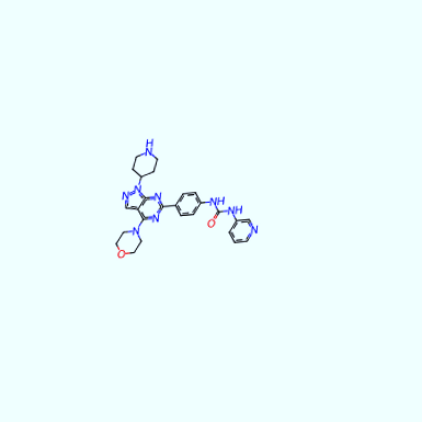 O=C(Nc1ccc(-c2nc(N3CCOCC3)c3cnn(C4CCNCC4)c3n2)cc1)Nc1cccnc1